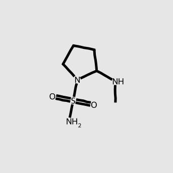 CNC1CCCN1S(N)(=O)=O